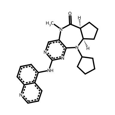 CN1C(=O)[C@H]2CCC[C@H]2N(C2CCCC2)c2nc(Nc3cccc4ncccc34)ncc21